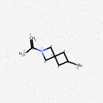 C=C(C)N1CC2(CC(C(C)(C)C)C2)C1